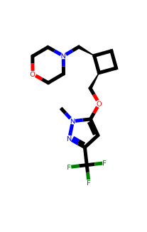 Cn1nc(C(F)(F)F)cc1OC[C@@H]1CC[C@@H]1CN1CCOCC1